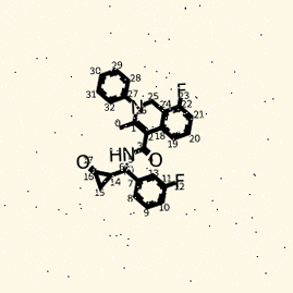 CC1=C(C(=O)N[C@H](c2cccc(F)c2)C2CC2=O)c2cccc(F)c2CN1c1ccccc1